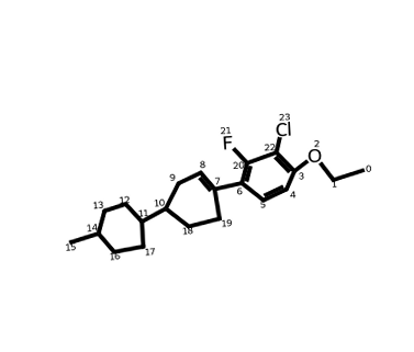 CCOc1ccc(C2=CCC(C3CCC(C)CC3)CC2)c(F)c1Cl